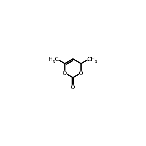 CC1=CC(C)OC(=O)O1